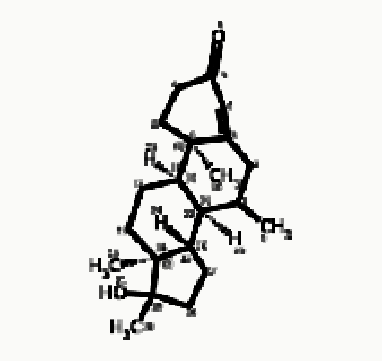 CC1CC2=CC(=O)CC[C@]2(C)[C@@H]2CC[C@@]3(C)[C@@H](CCC3(C)O)[C@H]12